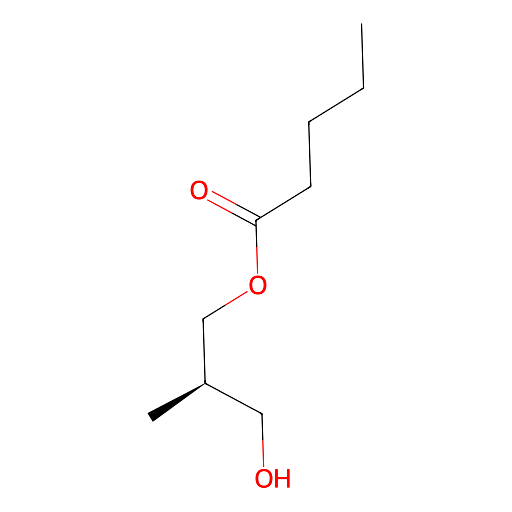 CCCCC(=O)OC[C@H](C)CO